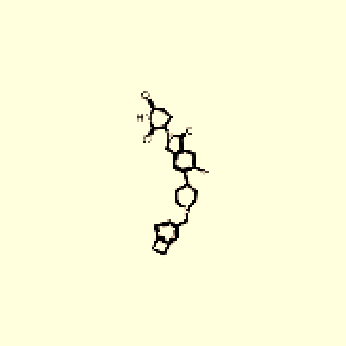 O=C1CCC(N2Cc3cc(C4CCN(Cc5ccc6c(c5)CC6)CC4)c(F)cc3C2=O)C(=O)N1